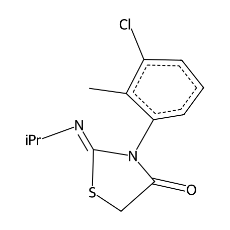 Cc1c(Cl)cccc1N1C(=O)CSC1=NC(C)C